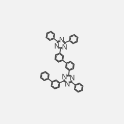 c1ccc(-c2cccc(-c3nc(-c4ccccc4)nc(-c4cccc(-c5cccc(-c6nc(-c7ccccc7)nc(-c7ccccc7)n6)c5)c4)n3)c2)cc1